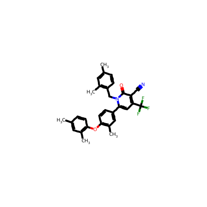 Cc1ccc(Cn2c(-c3ccc(Oc4ccc(C)cc4C)c(C)c3)cc(C(F)(F)F)c(C#N)c2=O)c(C)c1